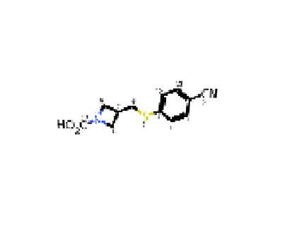 N#Cc1ccc(SCC2CN(C(=O)O)C2)cc1